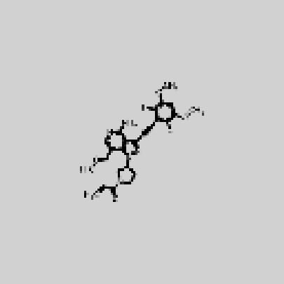 C=CC(=O)N1CCC(n2nc(C#Cc3c(F)c(OC)cc(OC)c3F)c3c(N)ncc(COC)c32)C1